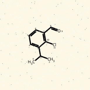 CC(C)c1cccc([C]=O)c1Cl